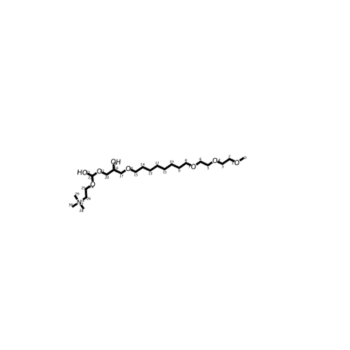 COCCOCCOCCCCCCCCOCC(O)COC(O)OCC[N+](C)(C)C